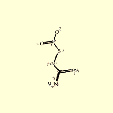 N=C(N)NS[N+](=O)[O-]